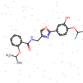 CC(=O)OC(C)Oc1ccccc1C(=O)NCc1coc(-c2ccc(OC(F)F)c(O)c2)n1